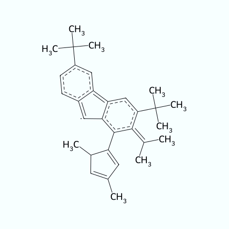 CC1=CC(C)C(c2c3c(cc(C(C)(C)C)c2=C(C)C)=c2cc(C(C)(C)C)ccc2=[C]3)=C1